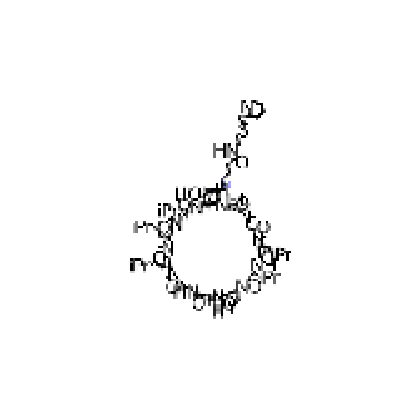 CC[C@@H]1NC(=O)[C@H]([C@H](O)[C@H](C)C/C=C/CCC(=O)NCCSSc2ccccn2)N(C)C(=O)[C@H](C(C)C)N(C)C(=O)[C@H](CCC(C)C)N(C)C(=O)[C@H](CCC(C)C)N(C)C(=O)[C@@H](C)NC(=O)[C@H](C)NC(=O)[C@H](CC(C)C)N(C)C(=O)C(C(C)C)NC(=O)[C@H](CC(C)C)N(C)C(=O)CN(C)C1=O